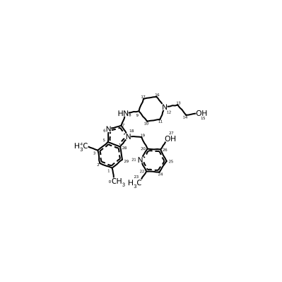 Cc1cc(C)c2nc(NC3CCN(CCO)CC3)n(Cc3nc(C)ccc3O)c2c1